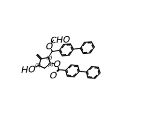 C=C1[C@H](O)C[C@H](OC(=O)c2ccc(-c3ccccc3)cc2)[C@@H]1C(OC=O)c1ccc(-c2ccccc2)cc1